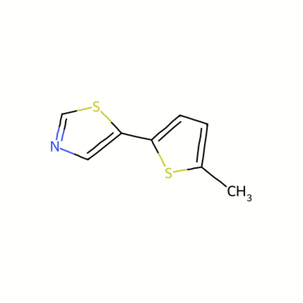 Cc1ccc(-c2cncs2)s1